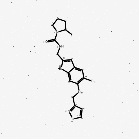 CC1CCCN1C(=O)NCc1cc2cc(F)c(OCc3ccon3)cc2[nH]1